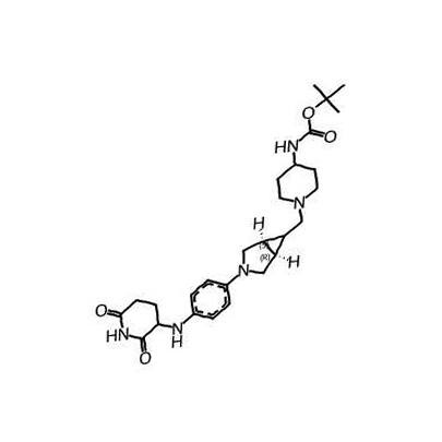 CC(C)(C)OC(=O)NC1CCN(CC2[C@H]3CN(c4ccc(NC5CCC(=O)NC5=O)cc4)C[C@@H]23)CC1